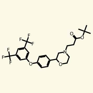 CC(C)(C)OC(=O)CCN1CCOC(c2ccc(Oc3cc(C(F)(F)F)cc(C(F)(F)F)c3)cc2)C1